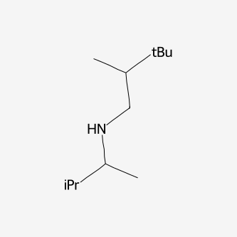 CC(C)C(C)NCC(C)C(C)(C)C